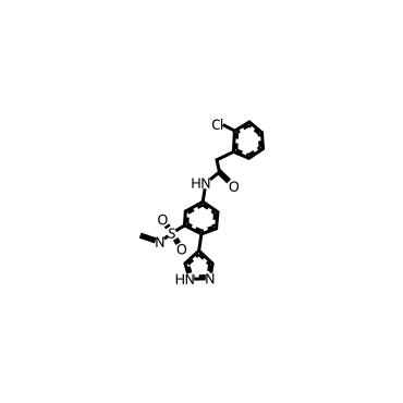 C=NS(=O)(=O)c1cc(NC(=O)Cc2ccccc2Cl)ccc1-c1cn[nH]c1